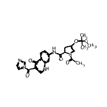 COC(C)(C)OC1CC(C(=O)Nc2ccc3c(=O)c(C(=O)n4ccnc4)c[nH]c3c2)N(C(C)=O)C1